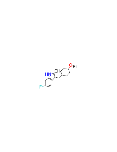 CCOC1CCC(Cc2c(C)[nH]c3cc(F)ccc23)CC1